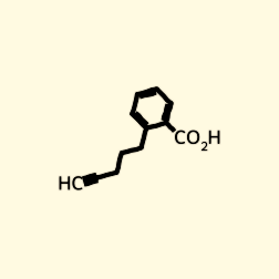 C#CCCCc1ccccc1C(=O)O